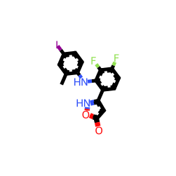 Cc1cc(I)ccc1Nc1c(-c2cc(=O)o[nH]2)ccc(F)c1F